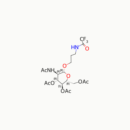 CC(=O)N[C@H]1[C@H](OCCCNC(=O)C(F)(F)F)O[C@H](COC(C)=O)[C@@H](OC(C)=O)[C@@H]1OC(C)=O